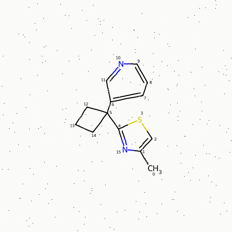 Cc1csc(C2(c3cccnc3)CCC2)n1